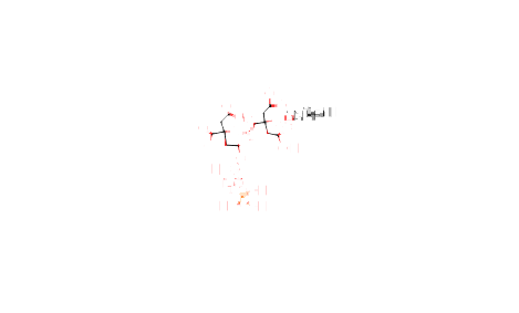 O.O.O.O=C(O)CC(O)(CC(=O)O)C(=O)O.O=C(O)CC(O)(CC(=O)O)C(=O)O.O=P(O)(O)O.[NaH].[NaH].[NaH].[NaH]